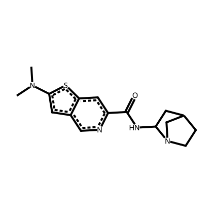 CN(C)c1cc2cnc(C(=O)NC3CC4CCN3C4)cc2s1